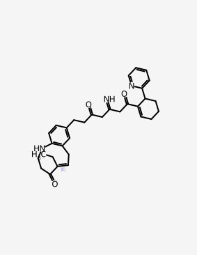 CC/C1=C\Cc2cc(CCC(=O)CC(=N)CC(=O)C3=CCCCC3c3ccccn3)ccc2NCCC1=O